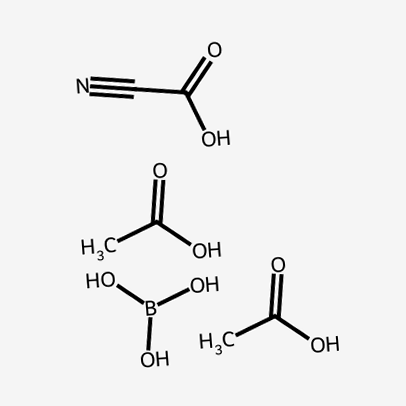 CC(=O)O.CC(=O)O.N#CC(=O)O.OB(O)O